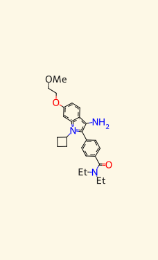 CCN(CC)C(=O)c1ccc(-c2c(N)c3ccc(OCCOC)cc3n2C2CCC2)cc1